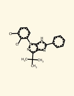 CC(C)(C)c1nn(-c2cccc(Cl)c2Cl)c2[nH]c(-c3ccccc3)nc12